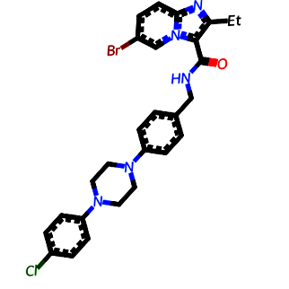 CCc1nc2ccc(Br)cn2c1C(=O)NCc1ccc(N2CCN(c3ccc(Cl)cc3)CC2)cc1